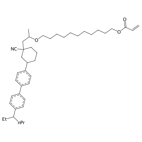 C=CC(=O)OCCCCCCCCCCCOC(C)CC1(C#N)CCCC(c2ccc(-c3ccc(C(CC)CCC)cc3)cc2)C1